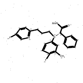 CNC(=O)[C@H](c1ccccc1)N(CCCc1ccc(F)cn1)c1ccc(F)c(C)c1